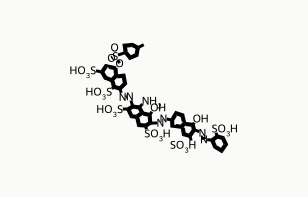 Cc1ccc(S(=O)(=O)Oc2cc(S(=O)(=O)O)cc3c(S(=O)(=O)O)c(N=Nc4c(S(=O)(=O)O)cc5cc(S(=O)(=O)O)c(N=Nc6ccc7c(O)c(N=Nc8ccccc8S(=O)(=O)O)c(S(=O)(=O)O)cc7c6)c(O)c5c4N)ccc23)cc1